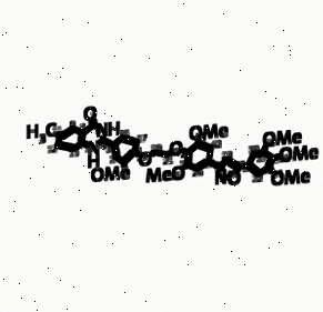 COc1cc(C2NC(=O)c3cc(C)ccc3N2)ccc1OCCOc1c(OC)cc(-c2cc(-c3cc(OC)c(OC)c(OC)c3)on2)cc1OC